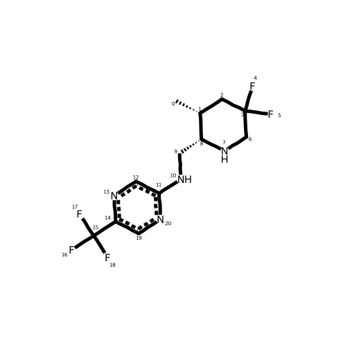 C[C@@H]1CC(F)(F)CN[C@@H]1CNc1cnc(C(F)(F)F)cn1